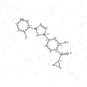 Cc1ccncc1N1C=CN(c2ccc(C(=O)C3CC3)c(F)c2)C1